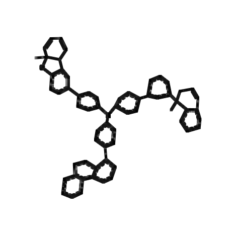 CC1(c2cccc(-c3ccc(N(c4ccc(-c5ccc6c(c5)C5C=CC=CC5(C)O6)cc4)c4ccc(-c5cccc6c5ccc5ccccc56)cc4)cc3)c2)CC=Cc2ccccc21